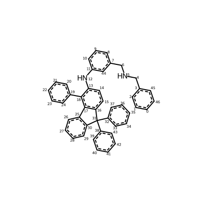 c1ccc(CNCc2cccc(Nc3ccc4c(c3-c3ccccc3)-c3ccccc3C4(c3ccccc3)c3ccccc3)c2)cc1